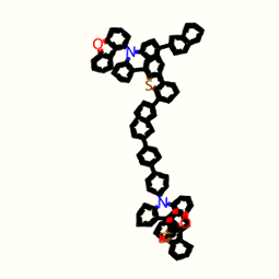 c1ccc(N(c2ccc(-c3ccc(-c4ccc5ccc(-c6cccc7c6sc6c(-c8ccccc8N(c8ccc(-c9ccc%10ccccc%10c9)cc8)c8cccc9oc%10ccccc%10c89)cccc67)cc5c4)cc3)cc2)c2cccc3oc4ccccc4c23)c(-c2cccc3c2sc2ccccc23)c1